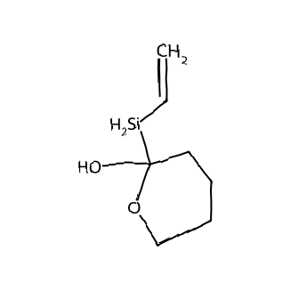 C=C[SiH2]C1(O)CCCCO1